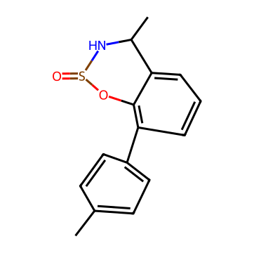 Cc1ccc(-c2cccc3c2OS(=O)NC3C)cc1